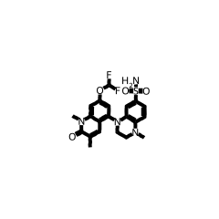 Cc1cc2c(N3CCN(C)c4ccc(S(N)(=O)=O)cc43)cc(OC(F)F)cc2n(C)c1=O